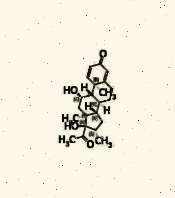 CC(=O)[C@@]1(O)[C@@H](C)C[C@H]2[C@@H]3CCC4=CC(=O)C=C[C@]4(C)[C@H]3[C@H](O)C[C@@]21C